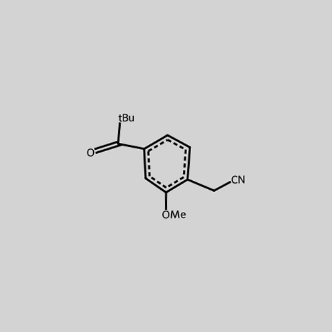 COc1cc(C(=O)C(C)(C)C)ccc1CC#N